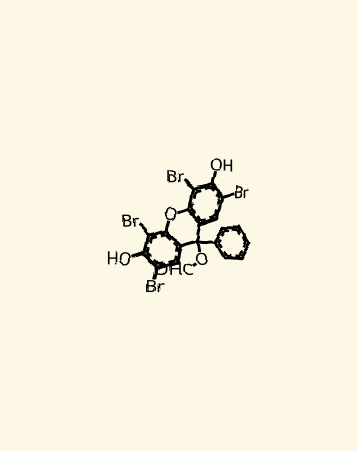 O=COC1(c2ccccc2)c2cc(Br)c(O)c(Br)c2Oc2c1cc(Br)c(O)c2Br